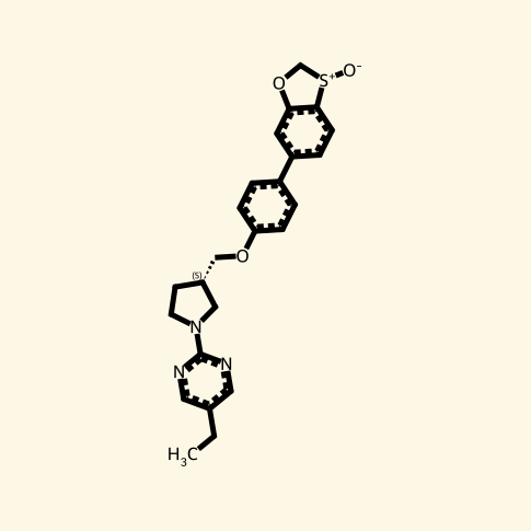 CCc1cnc(N2CC[C@H](COc3ccc(-c4ccc5c(c4)OC[S+]5[O-])cc3)C2)nc1